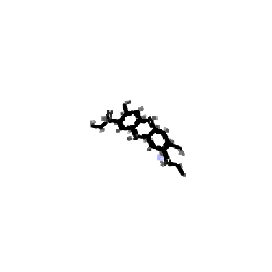 CC/N=c1/cc2sc3cc(NCC)c(C)cc3nc-2cc1C